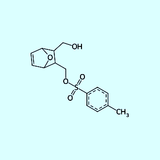 Cc1ccc(S(=O)(=O)OCC2C3C=CC(O3)C2CO)cc1